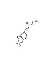 CCOC(=O)/C=C/c1ccc(OC(F)(F)F)c(F)c1